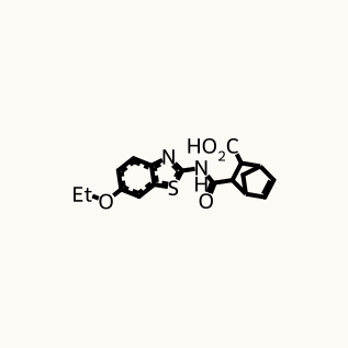 CCOc1ccc2nc(NC(=O)C3C4C=CC(C4)C3C(=O)O)sc2c1